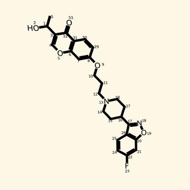 CC(O)c1coc2cc(OCCCN3CCC(c4noc5cc(F)ccc45)CC3)ccc2c1=O